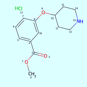 COC(=O)c1cccc(OC2CCNCC2)c1.Cl